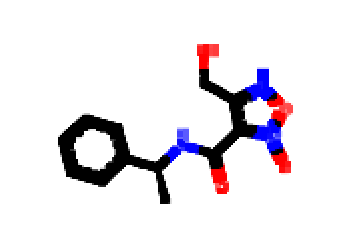 C[C@H](NC(=O)c1c(CO)[nH]o[n+]1=O)c1ccccc1